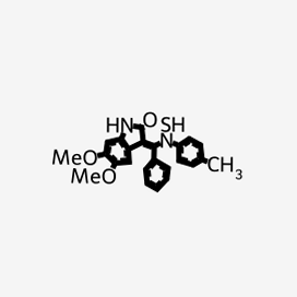 COc1cc2c(cc1OC)/C(=C(\c1ccccc1)N(S)c1ccc(C)cc1)C(=O)N2